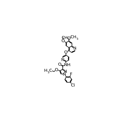 CCOc1cn(-c2ccc(Cl)cc2F)nc1C(=O)Nc1ccc(Oc2ccnc3cc(OC)c(OC)cc23)cn1